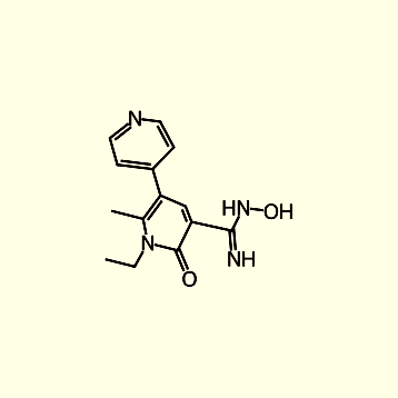 CCn1c(C)c(-c2ccncc2)cc(C(=N)NO)c1=O